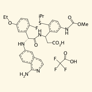 CCOc1ccc(F)c([C@@H](Nc2ccc3c(N)nccc3c2)C(=O)NC(CC(=O)O)c2cc(NC(=O)OC)ccc2SC(C)C)c1.O=C(O)C(F)(F)F